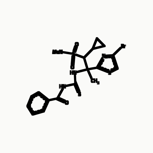 CNS(=O)(=O)C(C1CC1)C(C)(NC(=S)NC(=O)c1ccccc1)c1nc(Br)cs1